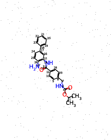 CC(C)OC(=O)NCc1ccc(C(=O)Nc2cc(-c3ccccc3)ccc2N)cc1